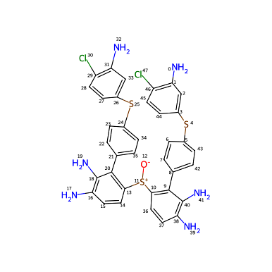 Nc1cc(Sc2ccc(-c3c([S+]([O-])c4ccc(N)c(N)c4-c4ccc(Sc5ccc(Cl)c(N)c5)cc4)ccc(N)c3N)cc2)ccc1Cl